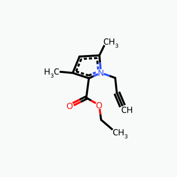 C#CCn1c(C)cc(C)c1C(=O)OCC